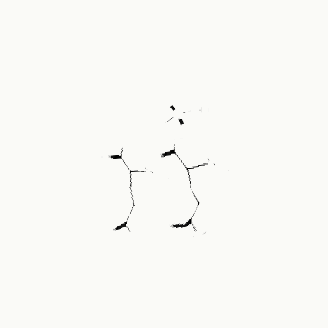 NC(CCC(=O)O)C(=O)O.NC(CCC(=O)O)C(=O)O.O=S(=O)(O)O